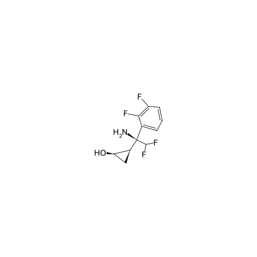 N[C@@](c1cccc(F)c1F)(C(F)F)[C@H]1C[C@H]1O